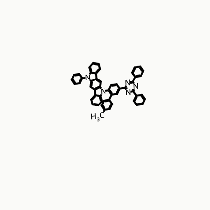 Cc1ccc(-c2cc(-c3nc(-c4ccccc4)nc(-c4ccccc4)n3)ccc2-n2c3ccccc3c3cc4c(cc32)c2ccccc2n4-c2ccccc2)cc1